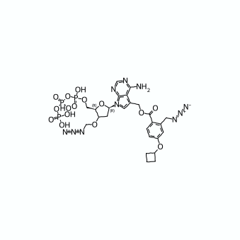 [N-]=[N+]=NCOC1C[C@H](n2cc(COC(=O)c3ccc(OC4CCC4)cc3CN=[N+]=[N-])c3c(N)ncnc32)O[C@@H]1COP(=O)(O)OP(=O)(O)OP(=O)(O)O